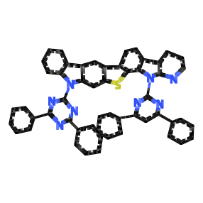 c1ccc(-c2cc(-c3ccccc3)nc(-n3c4ncccc4c4ccc5c6cc7c8ccccc8n(-c8nc(-c9ccccc9)nc(-c9ccccc9)n8)c7cc6sc5c43)n2)cc1